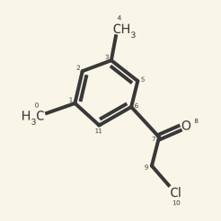 Cc1cc(C)cc(C(=O)CCl)c1